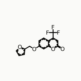 O=c1cc(C(F)(F)F)c2ccc(OCc3ccco3)cc2o1